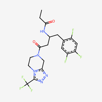 CCC(=O)NC(CC(=O)N1CCn2c(nnc2C(F)(F)F)C1)Cc1cc(F)c(F)cc1F